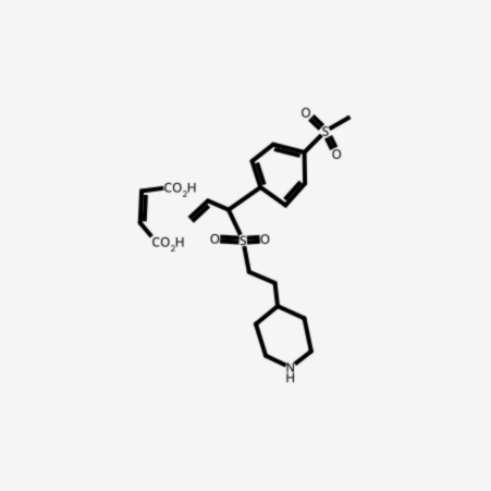 C=CC(c1ccc(S(C)(=O)=O)cc1)S(=O)(=O)CCC1CCNCC1.O=C(O)/C=C\C(=O)O